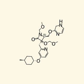 COCO[C@@]1(Cc2cc(O[C@H]3CC[C@H](C)CC3)ccn2)C(=O)N(COC)[C@H]1COC1=NC=CNC1